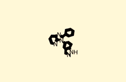 c1ccc(-c2nc3cccnc3n2-c2ccc3[nH]ncc3c2)cc1